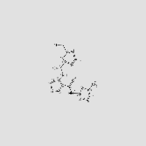 Cc1cc(CF)cc(C(=O)Nc2ccccc2C(=O)Nc2cccc(C(F)(F)F)c2)c1